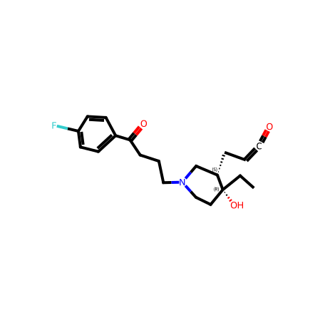 CC[C@@]1(O)CCN(CCCC(=O)c2ccc(F)cc2)C[C@@H]1CC=C=O